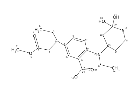 CCC(CC(=O)OC)c1ccc(N(CC)C2CCSC(O)(O)C2)c([N+](=O)[O-])c1